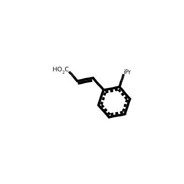 CC(C)c1c[c]ccc1C=CC(=O)O